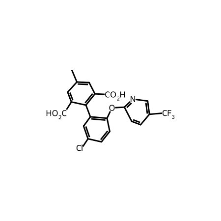 Cc1cc(C(=O)O)c(-c2cc(Cl)ccc2Oc2ccc(C(F)(F)F)cn2)c(C(=O)O)c1